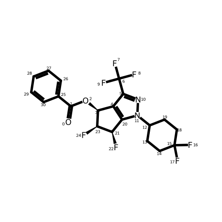 O=C(O[C@H]1c2c(C(F)(F)F)nn(C3CCC(F)(F)CC3)c2[C@@H](F)[C@H]1F)c1ccccc1